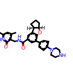 Cc1cc(C)c(CNC(=O)c2cc(-c3ccc(N4CCNCC4)cc3)c3c(c2)[C@@H]2CCC[C@@H]2O3)c(=O)[nH]1